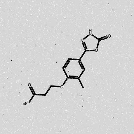 CCCC(=O)CCOc1ccc(-c2n[nH]c(=O)o2)cc1C